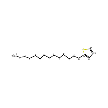 CC(C)(C)CCCCCCCCCCCCCc1cccs1